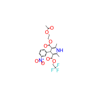 CC(=O)OCCOC(=O)C1=C(C)NC(C)=C(C(=O)OCC(F)(F)F)C1c1cccc([N+](=O)[O-])c1